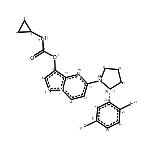 O=C(NC1CC1)Oc1cnn2ccc(N3CCC[C@@H]3c3cc(F)ccc3F)nc12